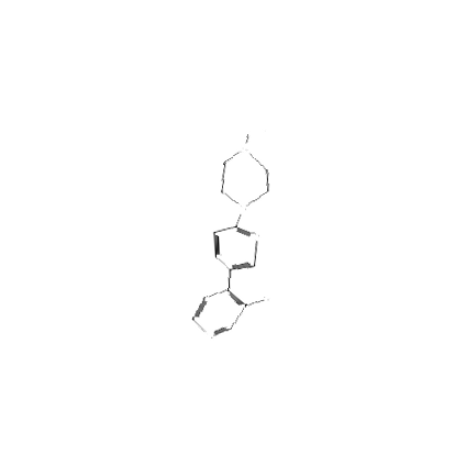 CN1CCN(c2ccc(-c3ccncc3N)cn2)CC1